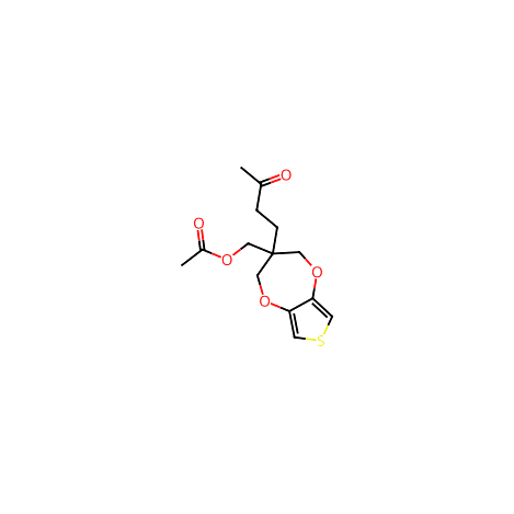 CC(=O)CCC1(COC(C)=O)COc2cscc2OC1